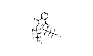 O=C(OCC(F)(F)C(F)(F)C(F)(F)C(F)(F)F)c1ccccc1C(=O)OCC(F)(F)C(F)(F)C(F)(F)C(F)(F)F